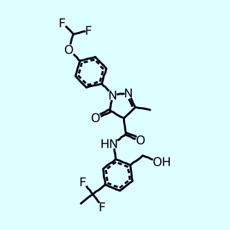 CC1=NN(c2ccc(OC(F)F)cc2)C(=O)C1C(=O)Nc1cc(C(C)(F)F)ccc1CO